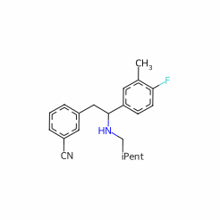 CCCC(C)CNC(Cc1cccc(C#N)c1)c1ccc(F)c(C)c1